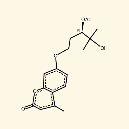 CC(=O)O[C@H](CCOc1ccc2c(C)cc(=O)oc2c1)C(C)(C)O